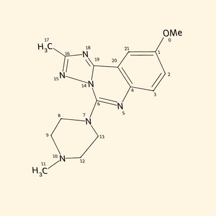 COc1ccc2nc(N3CCN(C)CC3)n3nc(C)nc3c2c1